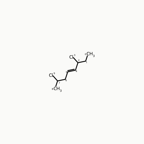 CCC(Cl)/C=C/CC(C)Cl